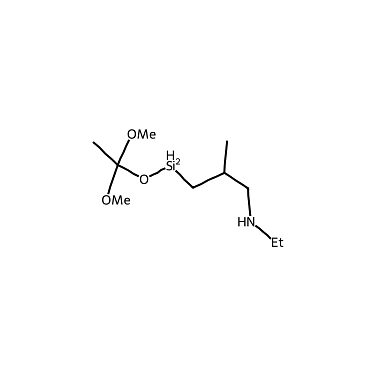 CCNCC(C)C[SiH2]OC(C)(OC)OC